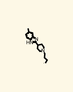 [CH2]CCCN1CCC(c2nc3cc(C)ccc3[nH]2)CC1